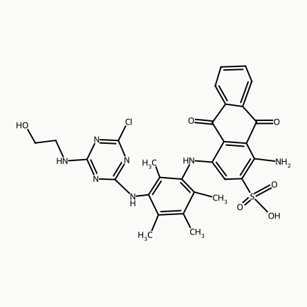 Cc1c(C)c(Nc2nc(Cl)nc(NCCO)n2)c(C)c(Nc2cc(S(=O)(=O)O)c(N)c3c2C(=O)c2ccccc2C3=O)c1C